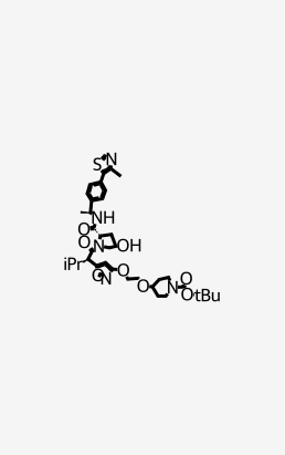 Cc1ncsc1-c1ccc([C@H](C)NC(=O)[C@@H]2C[C@@H](O)CN2C(=O)[C@@H](c2cc(OCCOC3CCN(C(=O)OC(C)(C)C)CC3)no2)C(C)C)cc1